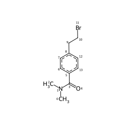 CN(C)C(=O)c1ccc(CCBr)cc1